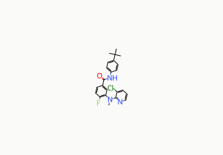 CN(c1cc(C(=O)Nc2ccc(C(C)(C)C)cc2)ccc1F)c1ncccc1Cl